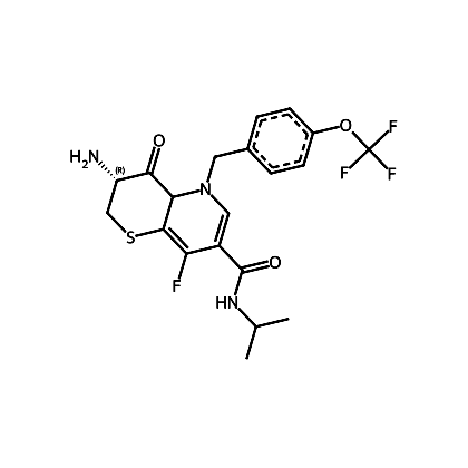 CC(C)NC(=O)C1=CN(Cc2ccc(OC(F)(F)F)cc2)C2C(=O)[C@@H](N)CSC2=C1F